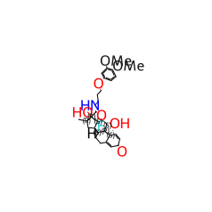 COc1ccc(OCCCNC(=O)[C@@]2(O)[C@H](C)CC3[C@@H]4CCC5=CC(=O)C=C[C@]5(C)[C@@]4(F)[C@@H](O)C[C@@]32C)cc1OC